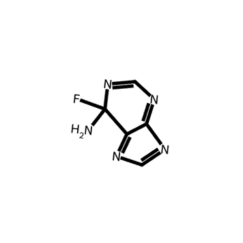 NC1(F)N=CN=C2N=CN=C21